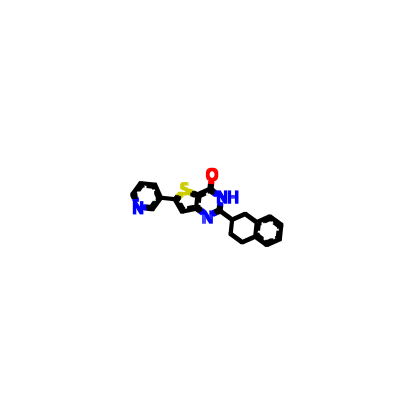 O=c1[nH]c(C2CCc3ccccc3C2)nc2cc(-c3cccnc3)sc12